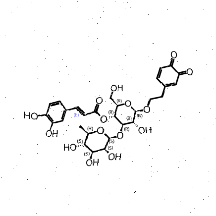 C[C@H]1O[C@@H](O[C@@H]2[C@@H](O)[C@H](OCCC3=CC(=O)C(=O)C=C3)O[C@H](CO)[C@H]2OC(=O)/C=C/c2ccc(O)c(O)c2)[C@@H](O)[C@@H](O)[C@@H]1O